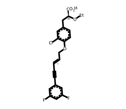 CCO[C@@H](Cc1ccc(OC/C=C/C#Cc2cc(F)cc(F)c2)c(Cl)c1)C(=O)O